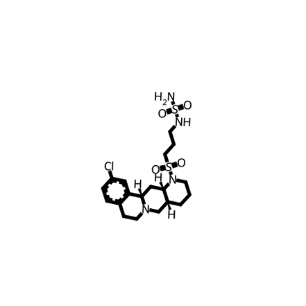 NS(=O)(=O)NCCCS(=O)(=O)N1CCC[C@@H]2CN3CCc4ccc(Cl)cc4[C@@H]3C[C@@H]21